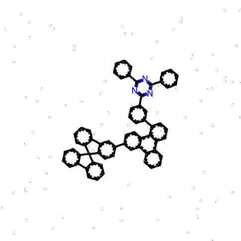 c1ccc(-c2nc(-c3ccccc3)nc(-c3cccc(-c4cccc5c6ccccc6c6cc(-c7ccc8c(c7)-c7ccccc7C87c8ccccc8-c8ccccc87)ccc6c45)c3)n2)cc1